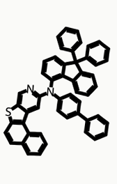 c1ccc(-c2ccc(N(c3cc4c(cn3)sc3ccc5ccccc5c34)c3cccc4c3-c3ccccc3C4(c3ccccc3)c3ccccc3)cc2)cc1